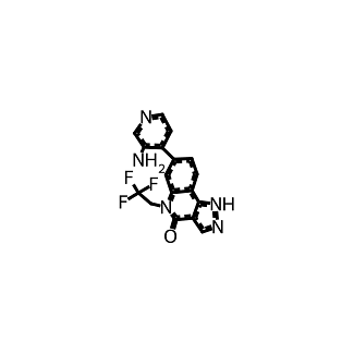 Nc1cnccc1-c1ccc2c3[nH]ncc3c(=O)n(CC(F)(F)F)c2c1